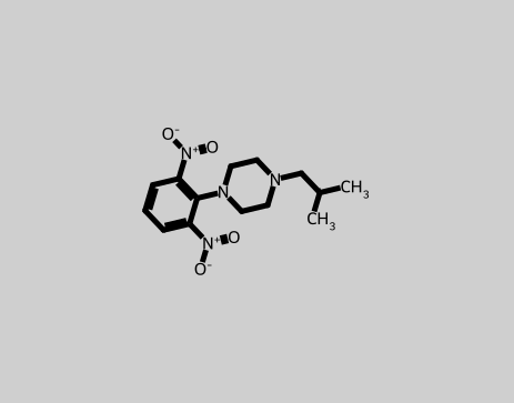 C[C](C)CN1CCN(c2c([N+](=O)[O-])cccc2[N+](=O)[O-])CC1